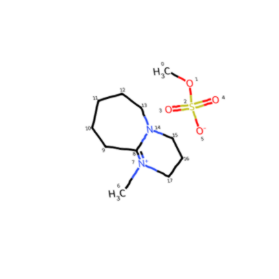 COS(=O)(=O)[O-].C[N+]1=C2CCCCCN2CCC1